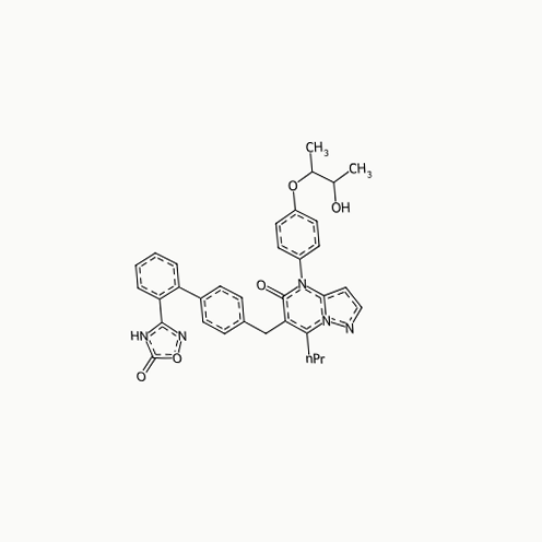 CCCc1c(Cc2ccc(-c3ccccc3-c3noc(=O)[nH]3)cc2)c(=O)n(-c2ccc(OC(C)C(C)O)cc2)c2ccnn12